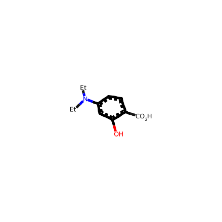 CCN(CC)c1ccc(C(=O)O)c(O)c1